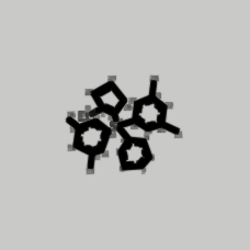 CCC1=C([Si](c2ccccc2)(c2cc(C)cc(C)c2)c2cc(C)cc(C)c2)CC=C1